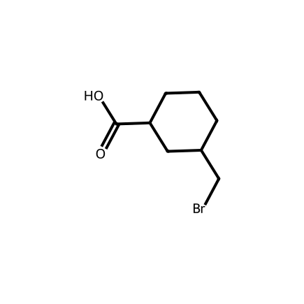 O=C(O)C1CCCC(CBr)C1